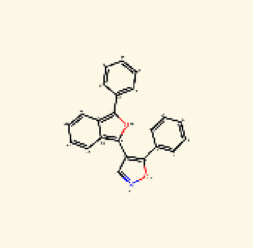 c1ccc(-c2oncc2-c2oc(-c3ccccc3)c3ccccc23)cc1